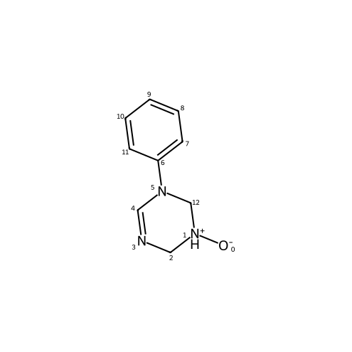 [O-][NH+]1CN=CN(c2ccccc2)C1